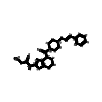 CC(C)(C)CC(=O)Nc1nc2c(s1)CCCC2C(=O)N1CCN(CC=Cc2ccccc2)CC1